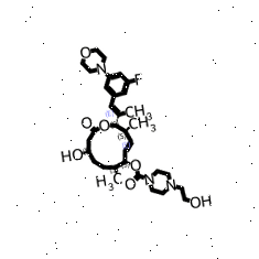 C/C(=C\c1cc(F)cc(N2CCOCC2)c1)[C@H]1OC(=O)C[C@H](O)CC[C@H](C)[C@H](OC(=O)N2CCN(CCO)CC2)/C=C/[C@@H]1C